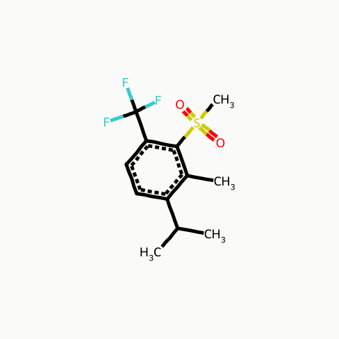 Cc1c(C(C)C)ccc(C(F)(F)F)c1S(C)(=O)=O